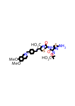 COc1cc2cc[n+](Cc3ccc(/C=C/C4=C(C(=O)O)N5C(=O)C(NC(=O)/C(=N\OC(C)(C)C(=O)O)c6csc(N)n6)C5SC4)cc3)cc2cc1OC